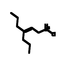 CCCC(=CC[SiH2]Cl)CCC